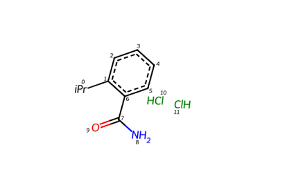 CC(C)c1ccccc1C(N)=O.Cl.Cl